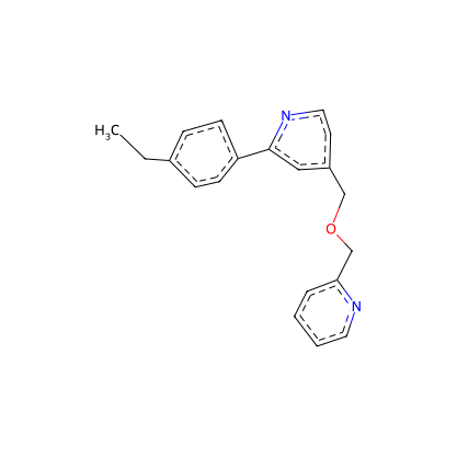 CCc1ccc(-c2cc(COCc3ccccn3)ccn2)cc1